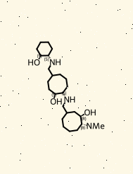 CN[C@@H]1CCCCC(CN[C@H]2CCCC(CN[C@H]3CCCC[C@@H]3O)CC[C@@H]2O)C[C@H]1O